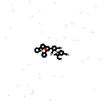 C/C=C\c1c(C)n(-c2c(C#N)ccc(-c3cccc(-c4ccccc4-n4c5c(c6ccccc64)CCC=C5)c3)c2C#N)c2ccc(C#N)cc12